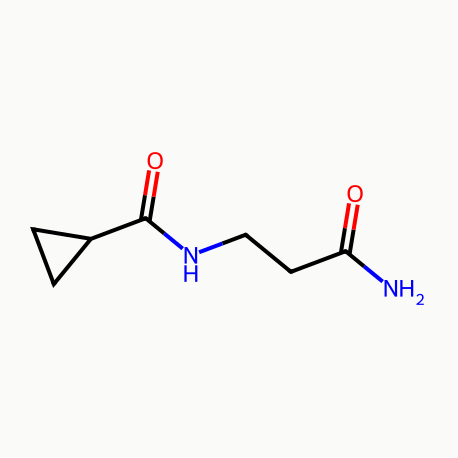 NC(=O)CCNC(=O)C1CC1